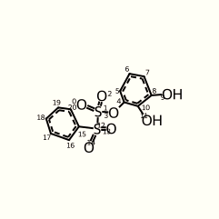 O=S(=O)(Oc1cccc(O)c1O)S(=O)(=O)c1ccccc1